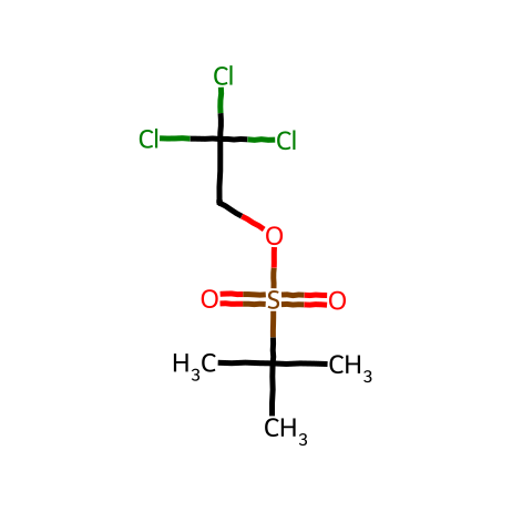 CC(C)(C)S(=O)(=O)OCC(Cl)(Cl)Cl